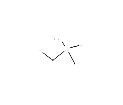 CCC(C)[Si](CC(C)C)(C(C)CC)C(C)CC